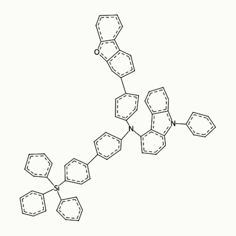 c1ccc(-n2c3ccccc3c3c(N(c4ccc(-c5ccc([Si](c6ccccc6)(c6ccccc6)c6ccccc6)cc5)cc4)c4ccc(-c5ccc6c(c5)oc5ccccc56)cc4)cccc32)cc1